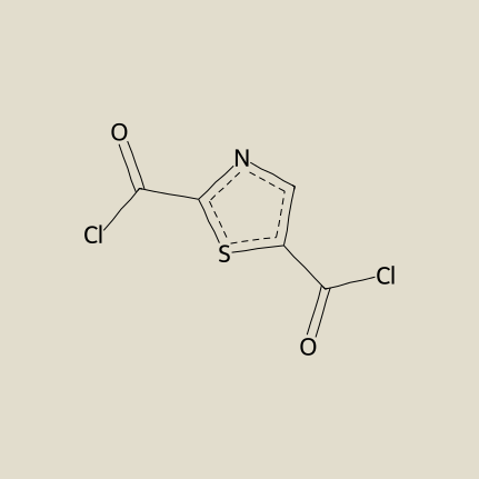 O=C(Cl)c1cnc(C(=O)Cl)s1